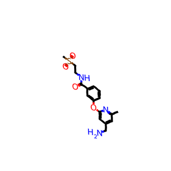 Cc1cc(CN)cc(Oc2cccc(C(=O)NCCS(C)(=O)=O)c2)n1